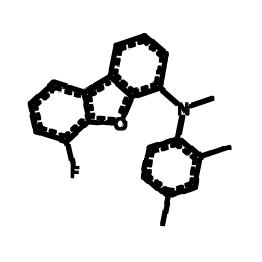 Cc1ccc(N(C)c2cccc3c2oc2c(F)cccc23)c(C)c1